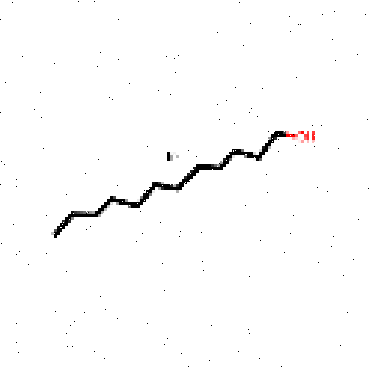 CCCCCCCCCCCCO.[K]